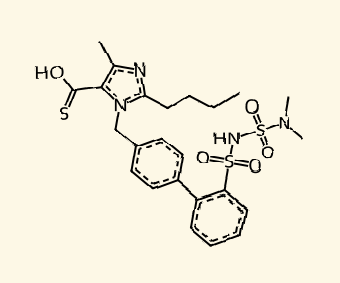 CCCCc1nc(C)c(C(O)=S)n1Cc1ccc(-c2ccccc2S(=O)(=O)NS(=O)(=O)N(C)C)cc1